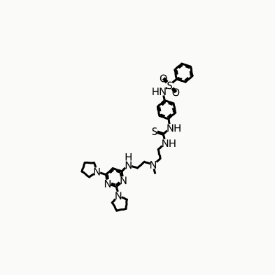 CN(CCNC(=S)Nc1ccc(NS(=O)(=O)c2ccccc2)cc1)CCNc1cc(N2CCCC2)nc(N2CCCC2)n1